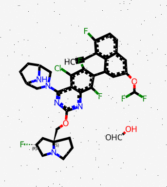 C#Cc1c(F)ccc2cc(OC(F)F)cc(-c3c(F)c(Cl)c4c(N5CC6CCC(C5)N6)nc(OC[C@@]56CCCN5C[C@H](F)C6)nc4c3F)c12.O=CO